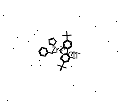 CC(C)(C)c1ccc2c(c1)[CH](/[Zr+2](=[CH]/c1ccccc1)[C]1=CC=CC1)c1cc(C(C)(C)C)ccc1-2.[Cl-].[Cl-]